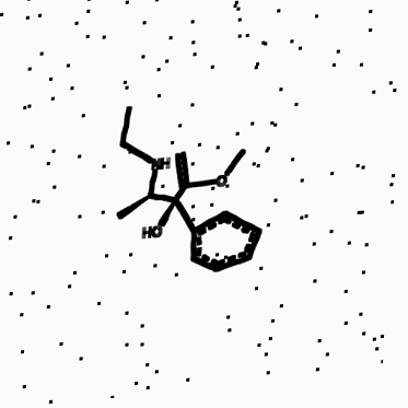 C=C(OC)[C@](O)(c1ccccc1)[C@@H](C)NCC